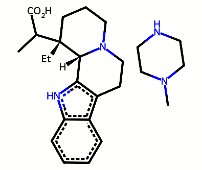 CC[C@@]1(C(C)C(=O)O)CCCN2CCc3c([nH]c4ccccc34)[C@@H]21.CN1CCNCC1